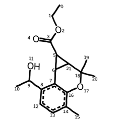 CCOC(=O)C1C2c3c(C(C)O)ccc(C)c3OC(C)(C)C12